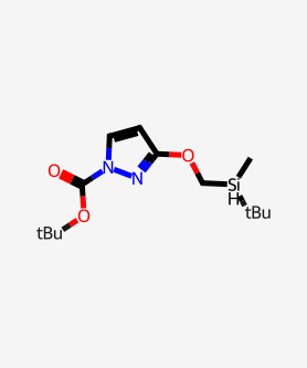 C[SiH](COc1ccn(C(=O)OC(C)(C)C)n1)C(C)(C)C